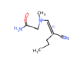 CCC/C(C#N)=C\N(C)CC(N)=O